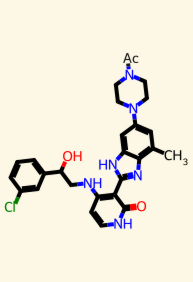 CC(=O)N1CCN(c2cc(C)c3nc(-c4c(NCC(O)c5cccc(Cl)c5)cc[nH]c4=O)[nH]c3c2)CC1